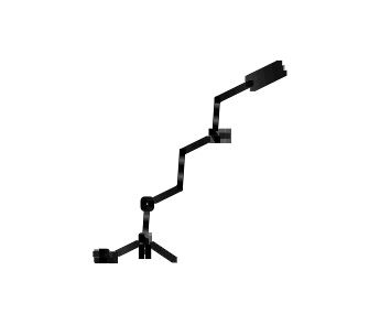 C#CCNCCO[SiH](C)C(C)(C)C